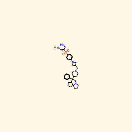 CN/C=C(\C=N)S(=O)(=O)c1ccc(N2CC(CN3CCC(C(CN4CCCC4)(C4=CCCC4)c4ccccc4)CC3)C2)cc1